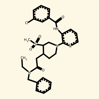 CCN(Cc1ccccc1)C(=O)CC1CCN(c2ncccc2NC(=O)c2cccc(Cl)c2)CC1S(C)(=O)=O